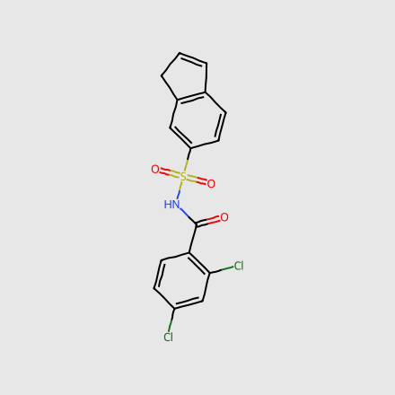 O=C(NS(=O)(=O)c1ccc2c(c1)CC=C2)c1ccc(Cl)cc1Cl